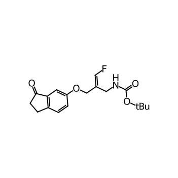 CC(C)(C)OC(=O)NCC(=CF)COc1ccc2c(c1)C(=O)CC2